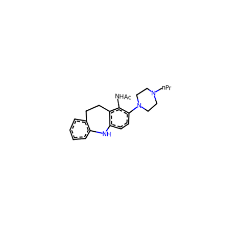 CCCN1CCN(c2ccc3c(c2NC(C)=O)CCc2ccccc2N3)CC1